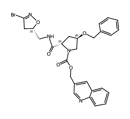 O=C(NC[C@@H]1CC(Br)=NO1)[C@@H]1C[C@@H](OCc2ccccc2)CN1C(=O)OCc1cnc2ccccc2c1